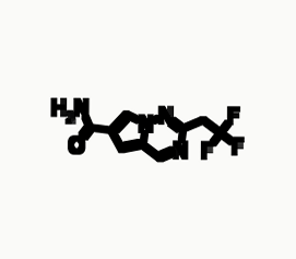 NC(=O)c1cc2cnc(CC(F)(F)F)nn2c1